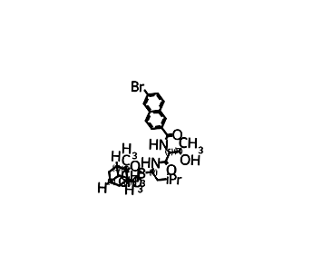 CC(C)C[C@H](NC(=O)[C@@H](NC(=O)c1ccc2cc(Br)ccc2c1)[C@@H](C)O)B1O[C@@H]2C[C@@H]3C[C@@H](C3(C)C)[C@]2(C)O1